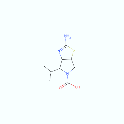 CC(C)C1c2nc(N)sc2CN1C(=O)O